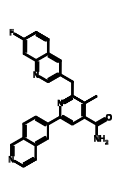 Cc1c(C(N)=O)cc(-c2ccc3cnccc3c2)nc1Cc1cnc2cc(F)ccc2c1